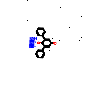 O=C1C=C(c2ccccc2)C(=O)C(c2ccccc2)=C1.[N-]=[N+]=N.[N-]=[N+]=[N-]